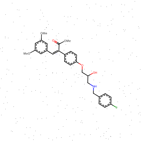 COC(=O)/C(=C\c1cc(OC)cc(OC)c1)c1ccc(OCC(O)CNCc2ccc(F)cc2)cc1